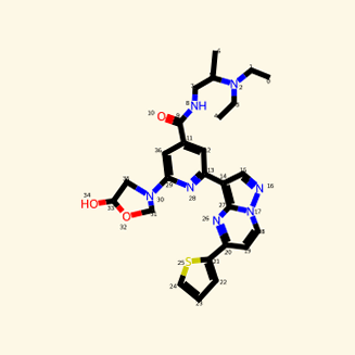 CCN(CC)C(C)CNC(=O)c1cc(-c2cnn3ccc(-c4cccs4)nc23)nc(N2COC(O)C2)c1